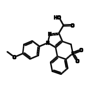 COc1ccc(-n2nc(C(=O)O)c3c2-c2ccccc2S(=O)(=O)C3)cc1